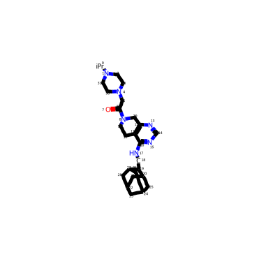 CC(C)N1CCN(CC(=O)N2CCc3c(ncnc3NCC3C4CC5CC(C4)CC3C5)C2)CC1